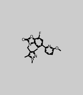 COc1cccc(-c2cc(F)c3oc(=O)n(Cc4c(C)nn(C)c4C)c3c2)n1